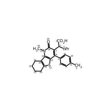 CCCC(C(=O)O)c1c(-c2ccc(C)cc2)c2sc3c(c2n(C)c1=O)CCCC3